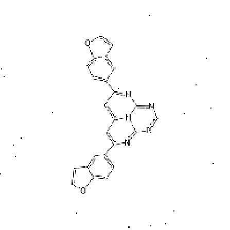 C1=NC2=NC(c3ccc4occc4c3)=CC3=CC(c4ccc5occc5c4)=NC(=N1)N32